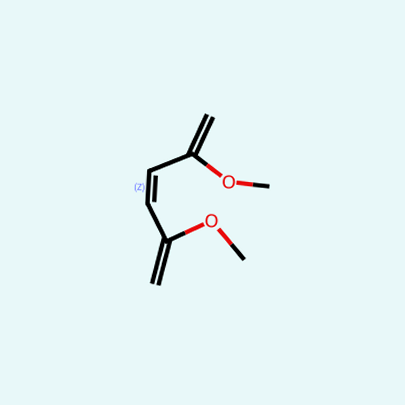 C=C(/C=C\C(=C)OC)OC